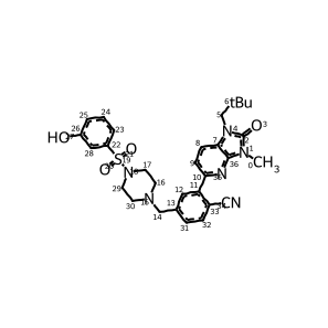 Cn1c(=O)n(CC(C)(C)C)c2ccc(-c3cc(CN4CCN(S(=O)(=O)c5cccc(O)c5)CC4)ccc3C#N)nc21